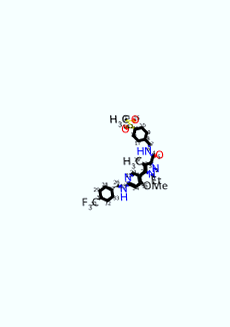 CCn1nc(C(=O)NCC2CCC(S(C)(=O)=O)CC2)c(C)c1-c1cnc(NC[C@H]2CC[C@H](C(F)(F)F)CC2)cc1OC